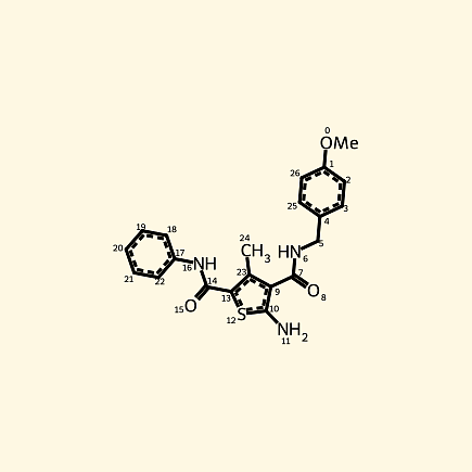 COc1ccc(CNC(=O)c2c(N)sc(C(=O)Nc3ccccc3)c2C)cc1